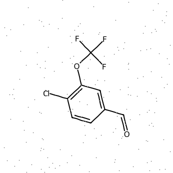 O=Cc1ccc(Cl)c(OC(F)(F)F)c1